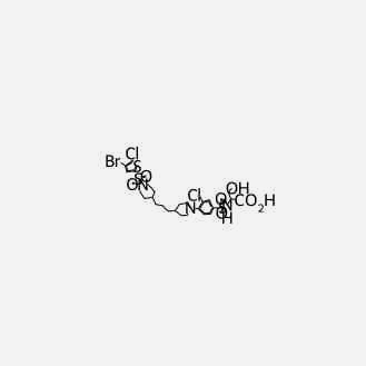 O=C(O)C(CO)NS(=O)(=O)c1ccc(N2CCC(CCCC3CCN(S(=O)(=O)c4cc(Br)c(Cl)s4)CC3)CC2)c(Cl)c1